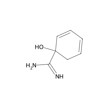 N=C(N)C1(O)C=CC=CC1